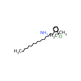 CCCCCCCCCCCCCCCCc1ccccc1C(C)(C)Cl.N